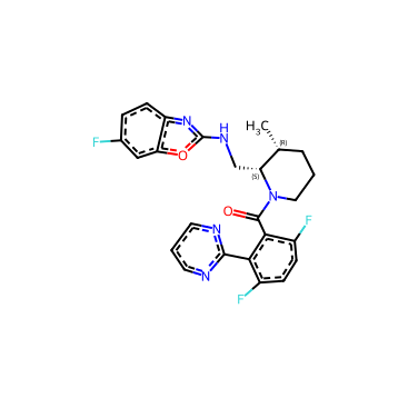 C[C@@H]1CCCN(C(=O)c2c(F)ccc(F)c2-c2ncccn2)[C@@H]1CNc1nc2ccc(F)cc2o1